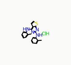 Cc1ccccc1Nc1nc(Nc2ccccc2C)c2ccsc2n1.Cl